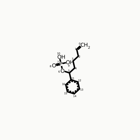 C=CCCCC(OP(=O)(O)O)c1ccccc1